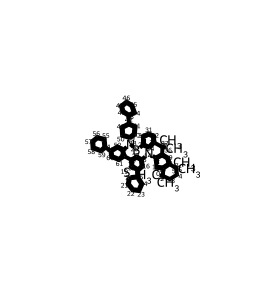 CC1(C)CCC(C)(C)c2cc3c(cc21)N1c2cc4c(sc5ccccc54)c4c2B(c2cccc(c21)C3(C)C)N(c1ccc(-c2ccccc2)cc1)c1cc(-c2ccccc2)ccc1-4